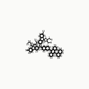 CCCCC1(CCCC)c2cc(C)ccc2-c2ccc(N(c3ccc4c(c3)C(CCCC)(CCCC)c3cc(C)ccc3-4)c3ccc4cc(-c5c6ccccc6c(-c6cccc7ccccc67)c6ccccc56)ccc4c3)cc21